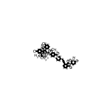 COc1cc(C(=O)N2CCC[C@@H](CC#Cc3cccc4c3C(=O)N([C@H]3CCC(=O)NC3=O)C4=O)C2)ccc1NC(=O)[C@@H]1N[C@@H](CC(C)(C)C)[C@@]2(CNc3cc(Cl)ccc32)[C@H]1c1cccc(Cl)c1F